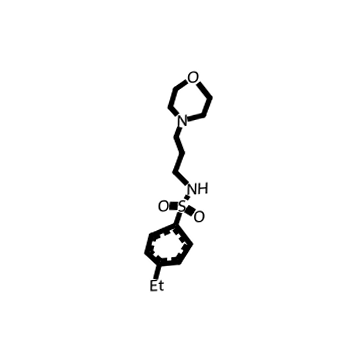 CCc1ccc(S(=O)(=O)NCCCN2CCOCC2)cc1